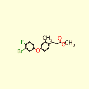 COC(=O)CCc1ccc(Oc2ccc(F)c(Br)c2)cc1C